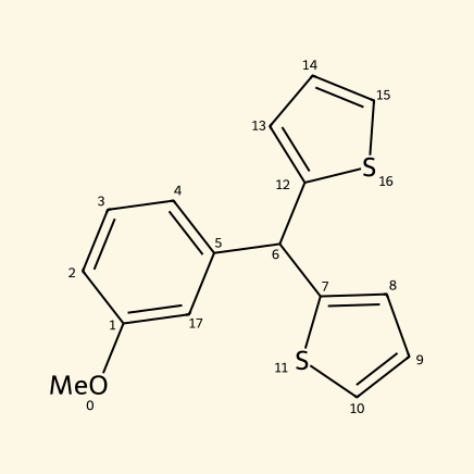 COc1cccc(C(c2cccs2)c2cccs2)c1